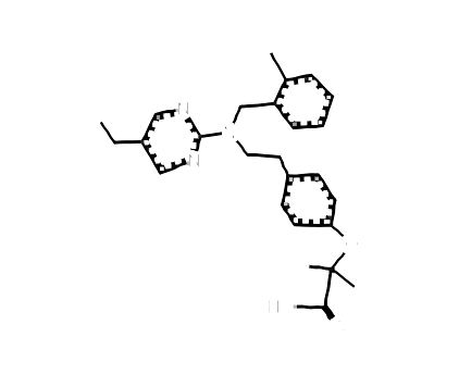 CCc1cnc(N(CCc2ccc(OC(C)(C)C(=O)O)cc2)Cc2ccccc2C)nc1